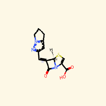 O=C(O)C1=CS[C@@H]2/C(=C\c3cc4n(n3)CCC4)C(=O)N12